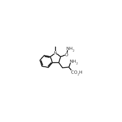 CN1c2ccccc2C(CC(N)C(=O)O)C1ON